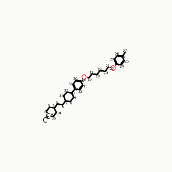 [CH2-][C+]1CCC(CCC2CCC(c3ccc(OCCCCCCOc4ccc(C)cc4)cc3)CC2)CC1